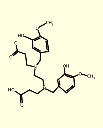 COc1ccc(CN(CCC(=O)O)CCN(CCC(=O)O)Cc2ccc(OC)c(O)c2)cc1O